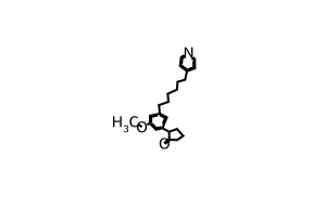 COc1cc(CCCCCCc2ccncc2)cc(C2CCCC2=O)c1